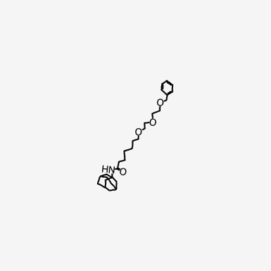 O=C(CCCCCCOCCOCCOCc1ccccc1)NC12CC3CC(CC(C3)C1)C2